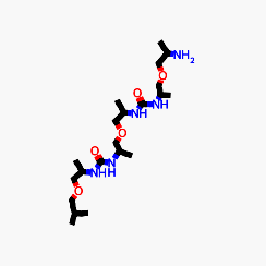 CC(C)COCC(C)NC(=O)NC(C)COCC(C)NC(=O)NC(C)COCC(C)N